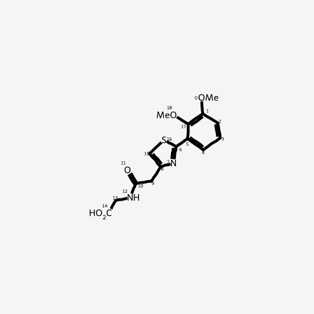 COc1cccc(-c2nc(CC(=O)NCC(=O)O)cs2)c1OC